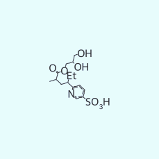 CCC(CC(C)C(=O)OCC(O)CO)c1ccc(S(=O)(=O)O)cn1